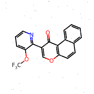 O=c1c(-c2ncccc2OC(F)(F)F)coc2ccc3ccccc3c12